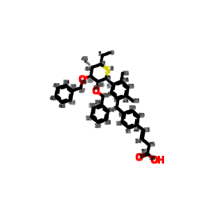 CC[C@H]1S[C@@H](c2cc(Cc3ccc(/C=C/CC(=O)O)cc3)c(C)cc2C)[C@H](OCc2ccccc2)[C@@H](OCc2ccccc2)[C@@H]1C